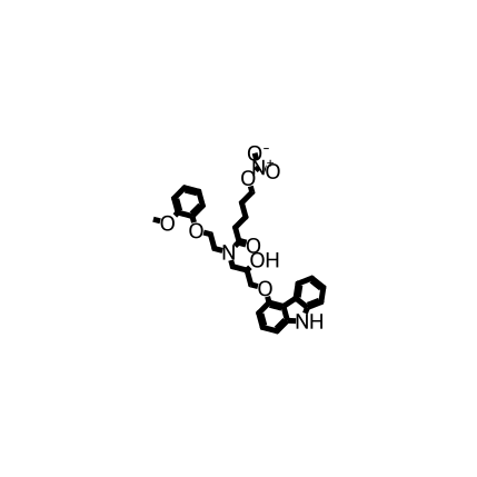 COc1ccccc1OCCN(CC(O)COc1cccc2[nH]c3ccccc3c12)C(=O)CCCCO[N+](=O)[O-]